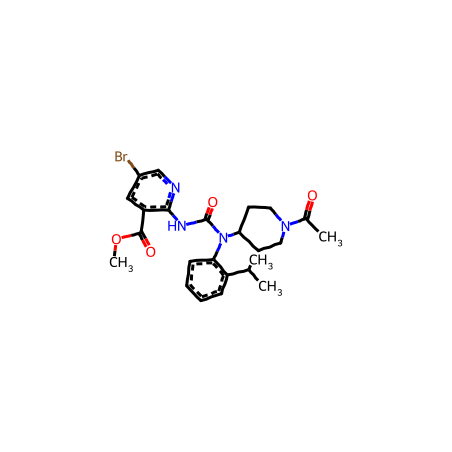 COC(=O)c1cc(Br)cnc1NC(=O)N(c1ccccc1C(C)C)C1CCN(C(C)=O)CC1